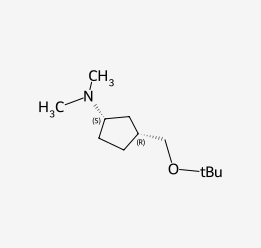 CN(C)[C@H]1CC[C@@H](COC(C)(C)C)C1